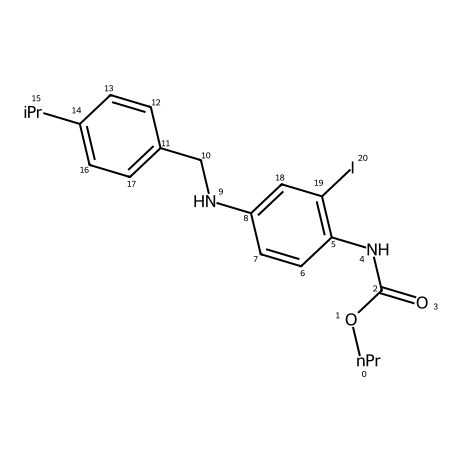 CCCOC(=O)Nc1ccc(NCc2ccc(C(C)C)cc2)cc1I